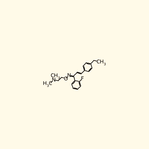 CCc1ccc(/C=C/C(=N/OCCN(C)C)c2ccccc2F)cc1